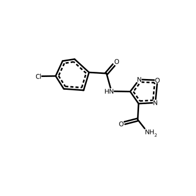 NC(=O)c1nonc1NC(=O)c1ccc(Cl)cc1